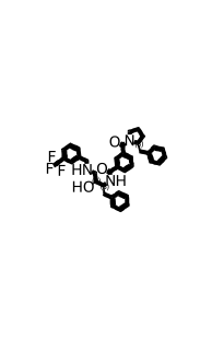 O=C(N[C@@H](Cc1ccccc1)[C@H](O)CNCc1cccc(C(F)(F)F)c1)c1cccc(C(=O)N2CCC[C@H]2Cc2ccccc2)c1